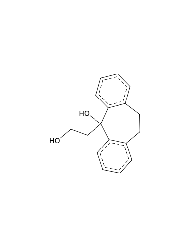 OCCC1(O)c2ccccc2CCc2ccccc21